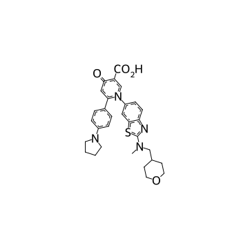 CN(CC1CCOCC1)c1nc2ccc(-n3cc(C(=O)O)c(=O)cc3-c3ccc(N4CCCC4)cc3)cc2s1